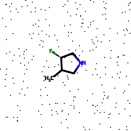 CC1CNC[C@H]1F